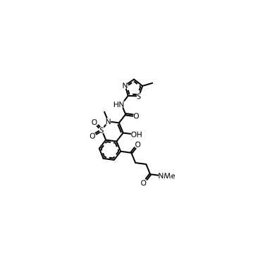 CNC(=O)CCC(=O)c1cccc2c1C(O)=C(C(=O)Nc1ncc(C)s1)N(C)S2(=O)=O